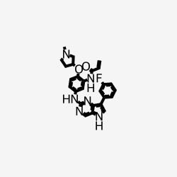 C=CC(=O)Nc1cc(Nc2ncc3[nH]cc(-c4cccc(F)c4)c3n2)ccc1OC1CCN(C)C1